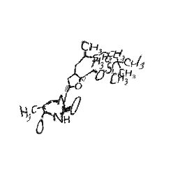 CCSC(C)CC1C[C@H](n2cc(C)c(=O)[nH]c2=O)O[C@@H]1CO[Si](C)(C)C(C)(C)C